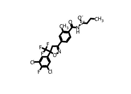 CCC[S+]([O-])NC(=O)c1ccc(C2=NOC(c3cc(Cl)c(F)c(Cl)c3)(C(F)(F)F)C2)cc1C